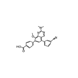 COc1c(-c2ccc(C(=O)O)cc2)cc(-c2cccc(C#N)c2)c2cnc(N(C)C)nc12